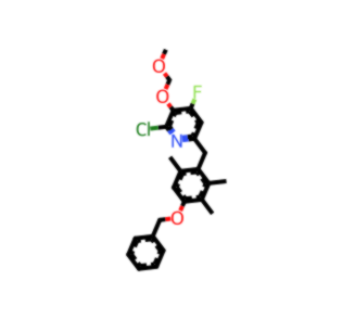 COCOc1c(F)cc(Cc2c(C)cc(OCc3ccccc3)c(C)c2C)nc1Cl